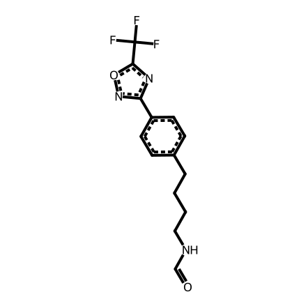 O=CNCCCCc1ccc(-c2noc(C(F)(F)F)n2)cc1